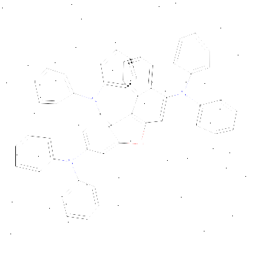 c1ccc(N(c2ccccc2)c2cc(N(c3ccccc3)c3ccccc3)c3c(c2)oc2cc(N(c4ccccc4)c4ccccc4)c4ccccc4c23)cc1